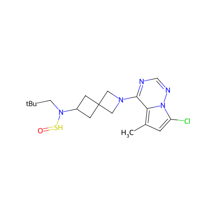 Cc1cc(Cl)n2ncnc(N3CC4(CC(N(CC(C)(C)C)[SH]=O)C4)C3)c12